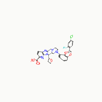 O=C(O)c1ccc2nc3n(c2n1)C(C1CCO1)C1CN(c2cccc4c2O[C@@H](c2ccc(Cl)cc2F)CO4)CCN1C3